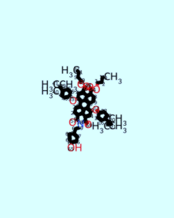 CCCCOC(=O)c1ccc2c3c(Oc4ccc(C(C)(C)C)cc4)cc4c5c(ccc(c6c(Oc7ccc(C(C)(C)C)cc7)cc(C(=O)OCCCC)c1c26)c53)C(=O)N(CCc1ccc(O)cc1)C4=O